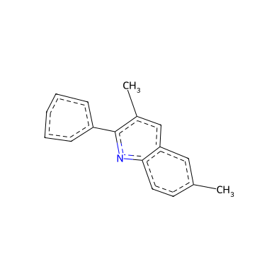 Cc1ccc2nc(-c3ccccc3)c(C)cc2c1